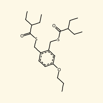 CCCOc1ccc(CSC(=O)C(CC)CC)c(CSC(=O)C(CC)CC)c1